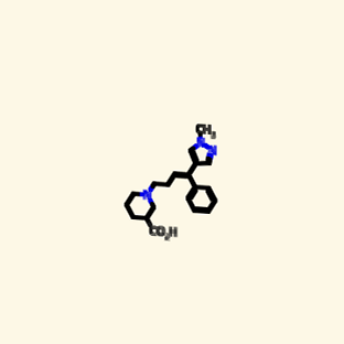 Cn1cc(C(=CCCN2CCCC(C(=O)O)C2)c2ccccc2)cn1